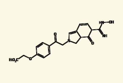 CCOC(=O)COc1ccc(C(=O)CN2C=C3C=CC(C(=N)NO)C(=O)C3C2)cc1